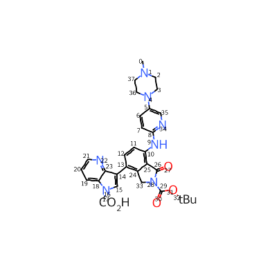 CN1CCN(c2ccc(Nc3ccc(-c4cn(C(=O)O)c5cccnc45)c4c3C(=O)N(C(=O)OC(C)(C)C)C4)nc2)CC1